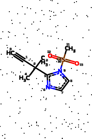 C#CC(C)(C)c1nccn1S(C)(=O)=O